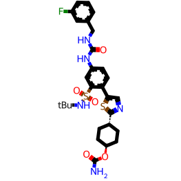 CC(C)(C)NS(=O)(=O)c1cc(NC(=O)NCc2cccc(F)c2)ccc1-c1cnc([C@H]2CC[C@H](OC(N)=O)CC2)s1